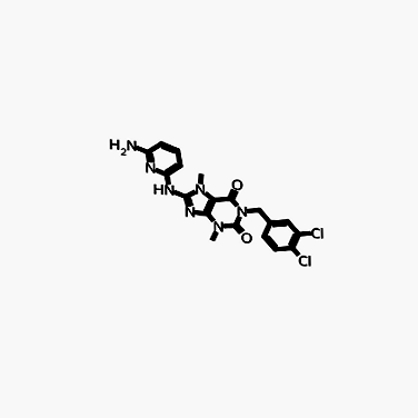 Cn1c(Nc2cccc(N)n2)nc2c1c(=O)n(Cc1ccc(Cl)c(Cl)c1)c(=O)n2C